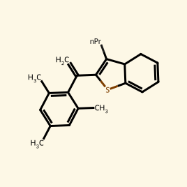 C=C(C1=C(CCC)C2CC=CC=C2S1)c1c(C)cc(C)cc1C